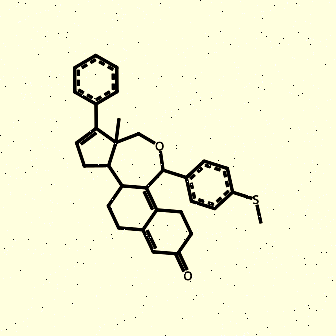 CSc1ccc(C2OCC3(C)C(c4ccccc4)=CCC3C3CCC4=CC(=O)CCC4=C23)cc1